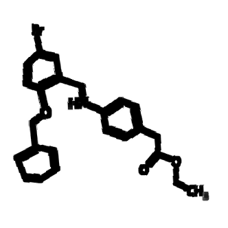 CCOC(=O)Cc1ccc(NCc2cc(Br)ccc2OCc2ccccc2)cc1